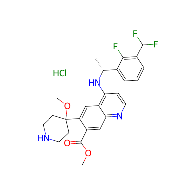 COC(=O)c1cc2nccc(N[C@H](C)c3cccc(C(F)F)c3F)c2cc1C1(OC)CCNCC1.Cl